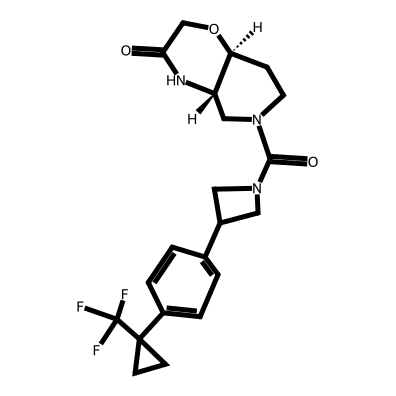 O=C1CO[C@H]2CCN(C(=O)N3CC(c4ccc(C5(C(F)(F)F)CC5)cc4)C3)C[C@@H]2N1